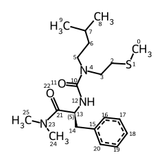 CSCCN(CCC(C)C)C(=O)N[C@@H](Cc1ccccc1)C(=O)N(C)C